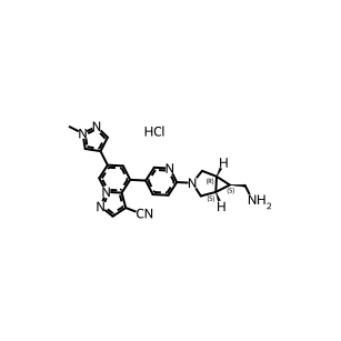 Cl.Cn1cc(-c2cc(-c3ccc(N4C[C@@H]5[C@@H](CN)[C@@H]5C4)nc3)c3c(C#N)cnn3c2)cn1